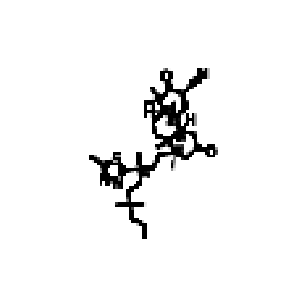 CCCC(C)(C)CC[C@@](C)(CC[C@]1(C)CC(=O)C[C@@H]2[C@@]3(C)C=C(C#N)C(=O)C(C)(C)[C@@H]3CC[C@]21C)c1nnc(C)s1